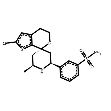 C[C@H]1C[C@@]2(C[C@@H](c3cccc(S(N)(=O)=O)c3)N1)OCCc1cc(Cl)sc12